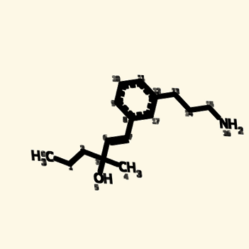 CCCC(C)(O)/C=C/c1cccc(CCCN)c1